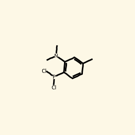 Cc1ccc(P(Cl)Cl)c(N(C)C)c1